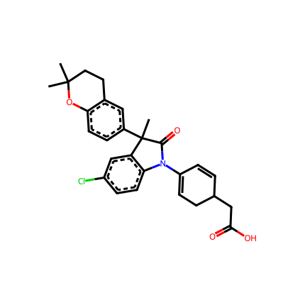 CC1(C)CCc2cc(C3(C)C(=O)N(C4=CCC(CC(=O)O)C=C4)c4ccc(Cl)cc43)ccc2O1